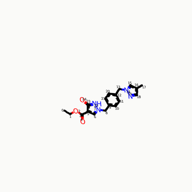 CCOC(=O)c1cn(Cc2ccc(Cn3cc(C)cn3)cc2)[nH]c1=O